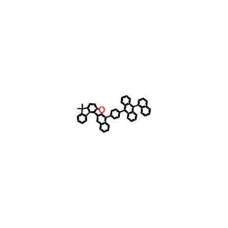 CC1(C)c2ccccc2-c2c1ccc1oc3c(-c4ccc(-c5c6ccccc6c(-c6cccc7ccccc67)c6ccccc56)cc4)c4ccccc4cc3c21